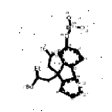 CCCCC(CC)CC1(CC(CC)CCCC)c2ccccc2-c2ccc(O[Br+2]([O-])[O-])cc21